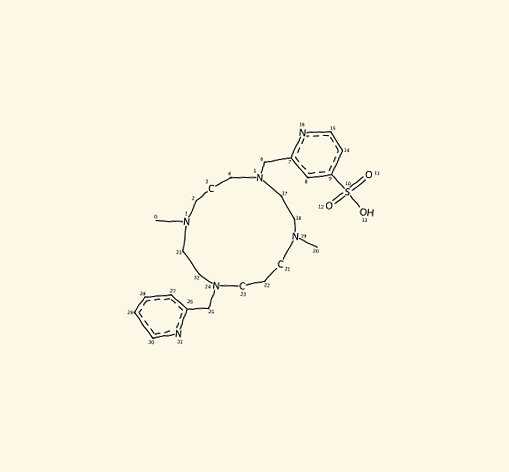 CN1CCCN(Cc2cc(S(=O)(=O)O)ccn2)CCN(C)CCCN(Cc2ccccn2)CC1